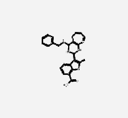 Cc1oc2c(C(N)=O)cccc2c1C1NC2=C(CC=CC=N2)C(NCc2ccccc2)N1